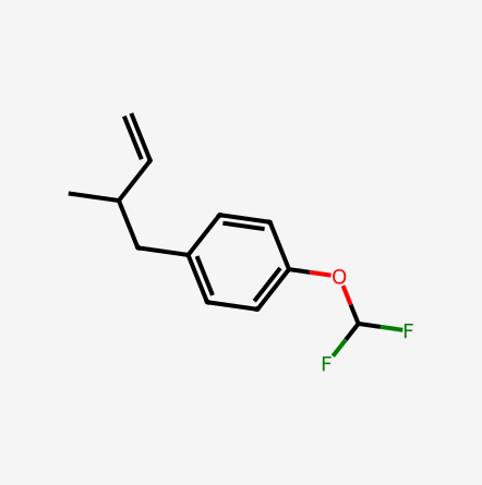 C=CC(C)Cc1ccc(OC(F)F)cc1